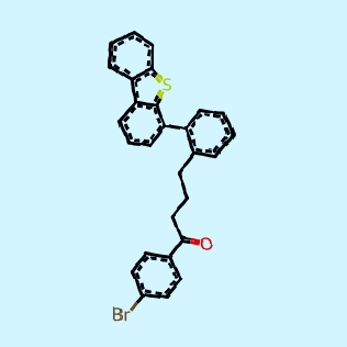 O=C(CCCc1ccccc1-c1cccc2c1sc1ccccc12)c1ccc(Br)cc1